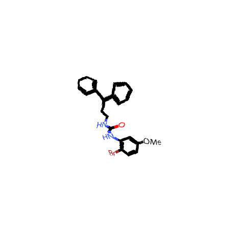 COc1ccc(Br)c(NC(=O)NCCC(c2ccccc2)c2ccccc2)c1